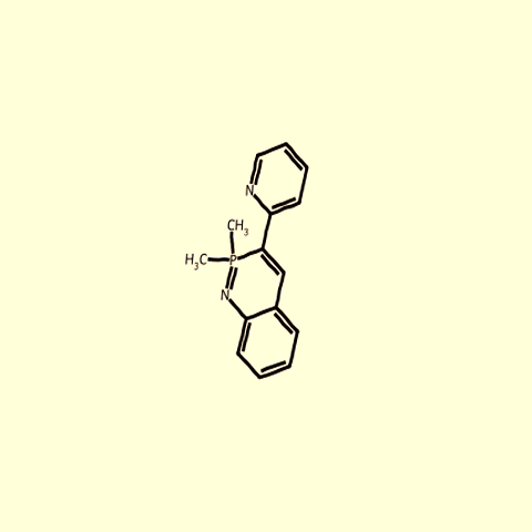 CP1(C)=Nc2ccccc2C=C1c1ccccn1